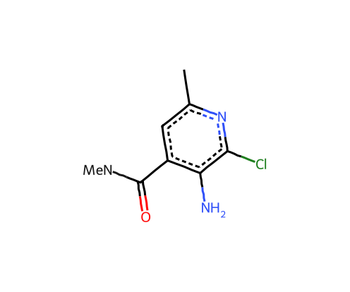 CNC(=O)c1cc(C)nc(Cl)c1N